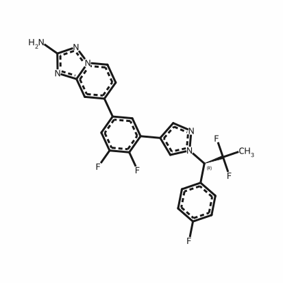 CC(F)(F)[C@@H](c1ccc(F)cc1)n1cc(-c2cc(-c3ccn4nc(N)nc4c3)cc(F)c2F)cn1